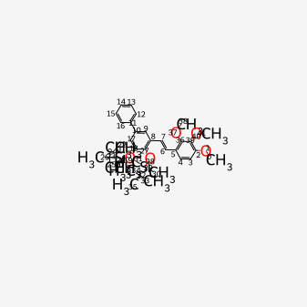 COc1ccc(C=Cc2cc(-c3ccccc3)cc(O[Si](C)(C)C(C)(C)C)c2O[Si](C)(C)C(C)(C)C)c(OC)c1OC